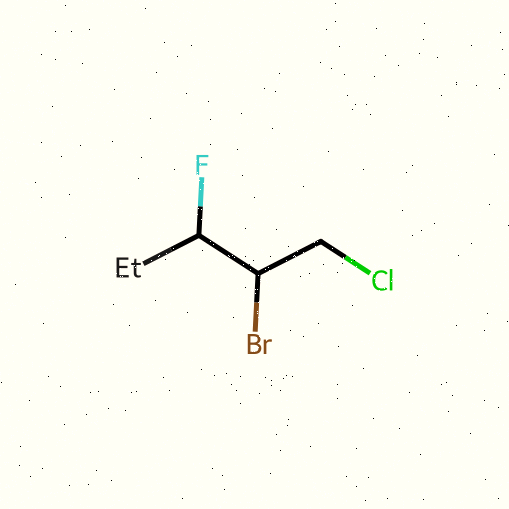 CCC(F)C(Br)CCl